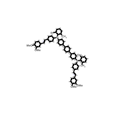 CCc1cccc(C)c1N(c1ccc(/C=C/c2ccc(OC)c(OC)c2)cc1)c1ccc(-c2ccc(-c3ccc(N(c4ccc(/C=C/c5ccc(OC)c(OC)c5)cc4)c4c(C)cccc4CC)cc3)cc2)cc1